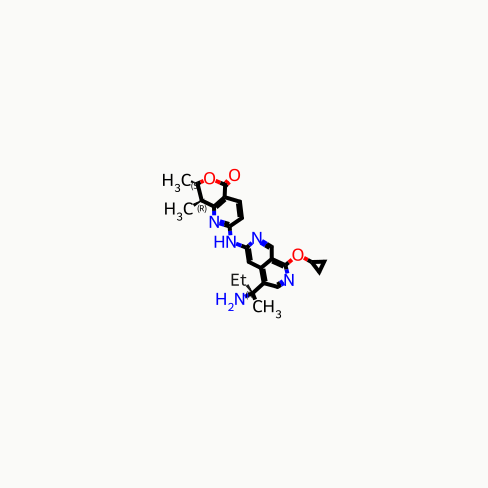 CC[C@@](C)(N)c1cnc(OC2CC2)c2cnc(Nc3ccc4c(n3)[C@@H](C)[C@H](C)OC4=O)cc12